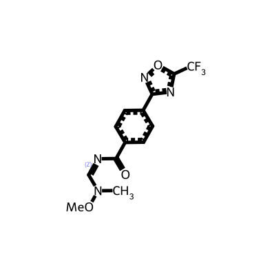 CON(C)/C=N\C(=O)c1ccc(-c2noc(C(F)(F)F)n2)cc1